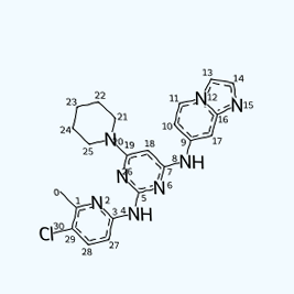 Cc1nc(Nc2nc(Nc3ccn4ccnc4c3)cc(N3CCCCC3)n2)ccc1Cl